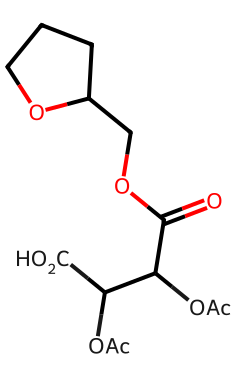 CC(=O)OC(C(=O)O)C(OC(C)=O)C(=O)OCC1CCCO1